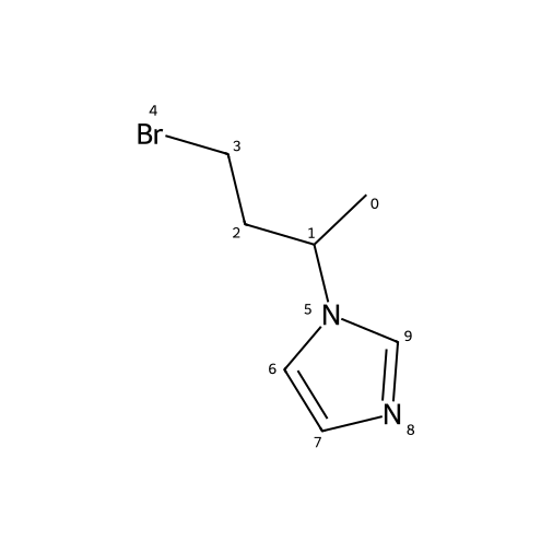 CC(CCBr)n1ccnc1